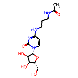 CC(=O)NCCCNc1ccn([C@@H]2O[C@H](CO)[C@@H](O)[C@H]2O)c(=O)n1